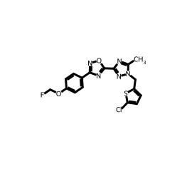 Cc1nc(-c2nc(-c3ccc(OCF)cc3)no2)nn1Cc1ccc(Cl)s1